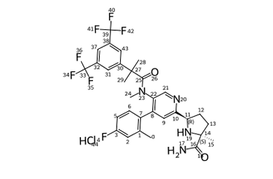 Cc1cc(F)ccc1-c1cc([C@H]2CC[C@@](C)(C(N)=O)N2)ncc1N(C)C(=O)C(C)(C)c1cc(C(F)(F)F)cc(C(F)(F)F)c1.Cl